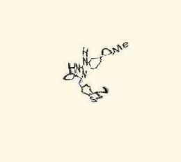 COC1CCCC(NC2=N/C(=C\c3ccc4ncsc4c3)C(=O)N2)C1